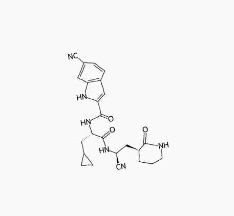 N#Cc1ccc2cc(C(=O)N[C@@H](CC3CC3)C(=O)N[C@H](C#N)C[C@@H]3CCCNC3=O)[nH]c2c1